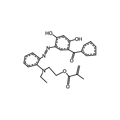 C=C(C)C(=O)OCCN(CC)c1ccccc1N=Nc1cc(C(=O)c2ccccc2)c(O)cc1O